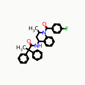 CC1CC(NC(=O)C(C)(c2ccccc2)c2ccccc2)c2ccccc2N1C(=O)c1ccc(F)cc1